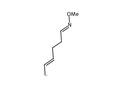 [CH2]C=CCCC=NOC